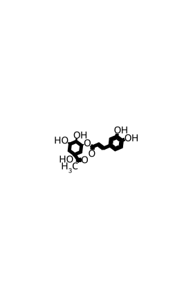 CC(=O)[C@]1(O)C[C@@H](O)[C@@H](O)[C@H](OC(=O)/C=C/c2ccc(O)c(O)c2)C1